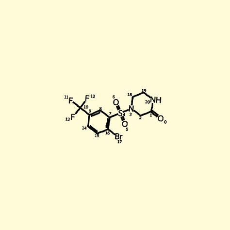 O=C1CN(S(=O)(=O)c2cc(C(F)(F)F)ccc2Br)CCN1